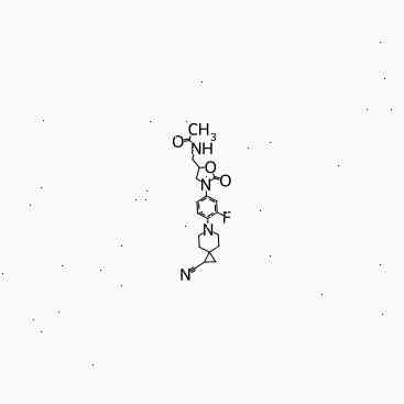 CC(=O)NCC1CN(c2ccc(N3CCC4(CC3)CC4C#N)c(F)c2)C(=O)O1